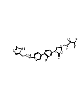 O=C(NC[C@H]1CN(c2ccc(-c3ccc(CNCc4cnn[nH]4)nc3)c(F)c2)C(=O)O1)C(F)F